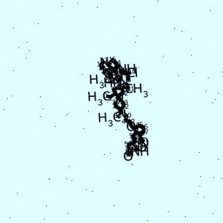 CCc1cc(Nc2ncc(Cl)c(Nc3ccc4nccnc4c3NS(C)(=O)=O)n2)c(OC)cc1N1CCC(N(C)CCCOc2cccc3c2CN(C2CCC(=O)NC2=O)C3=O)CC1